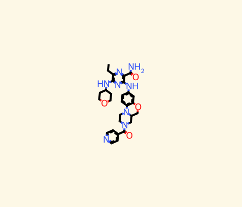 CCc1nc(C(N)=O)c(Nc2ccc3c(c2)OCC2CN(C(=O)c4ccncc4)CCN32)nc1NC1CCOCC1